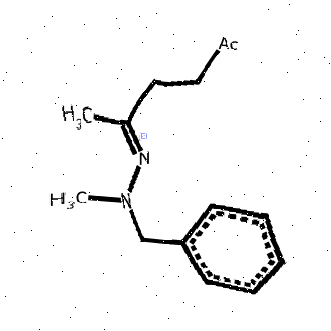 CC(=O)CC/C(C)=N/N(C)Cc1ccccc1